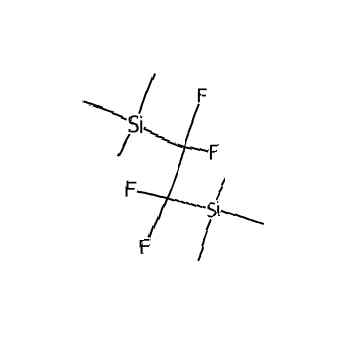 C[Si](C)(C)C(F)(F)C(F)(F)[Si](C)(C)C